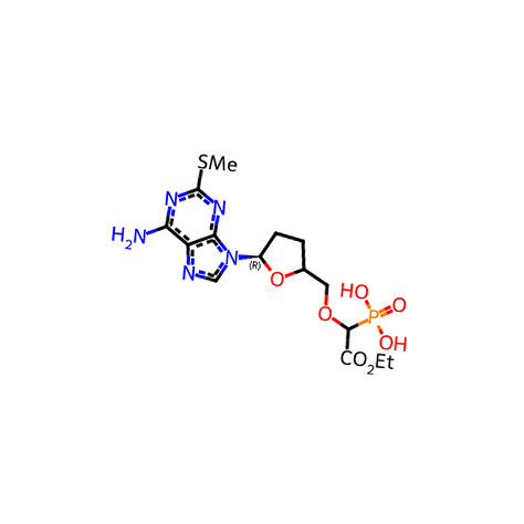 CCOC(=O)C(OCC1CC[C@H](n2cnc3c(N)nc(SC)nc32)O1)P(=O)(O)O